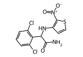 NC(=O)C(Nc1ccsc1[N+](=O)[O-])c1c(Cl)cccc1Cl